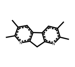 Cc1cc2c(nc1C)Cc1nc(C)c(C)cc1-2